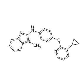 Cn1c(Nc2ccc(Oc3ncccc3C3CC3)cc2)nc2ccccc21